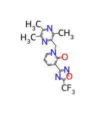 Cc1nc(C)c(Cn2cccc(-c3noc(C(F)(F)F)n3)c2=O)nc1C